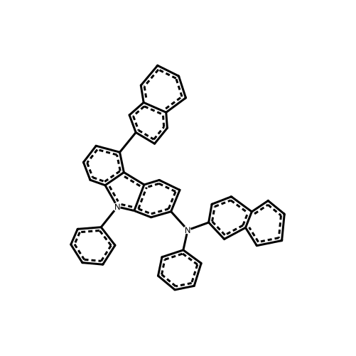 c1ccc(N(c2ccc3ccccc3c2)c2ccc3c4c(-c5ccc6ccccc6c5)cccc4n(-c4ccccc4)c3c2)cc1